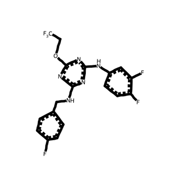 Fc1ccc(CNc2nc(Nc3ccc(F)c(F)c3)nc(OCC(F)(F)F)n2)cc1